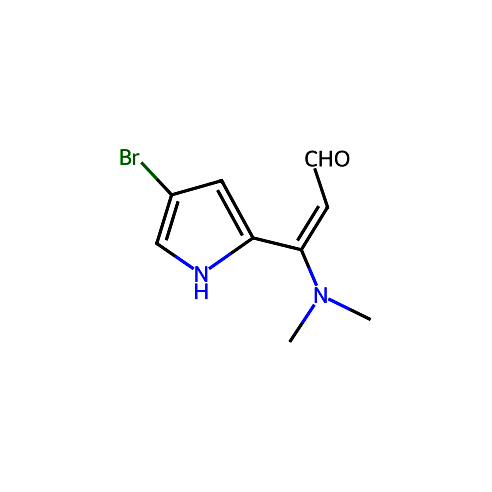 CN(C)/C(=C/C=O)c1cc(Br)c[nH]1